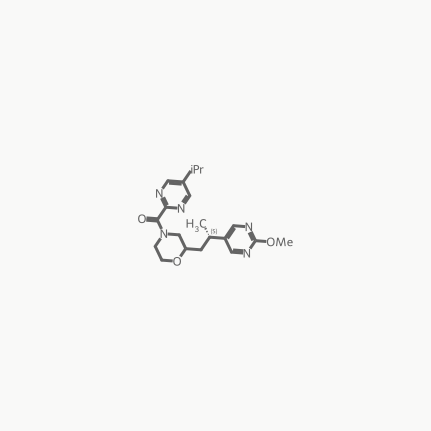 COc1ncc([C@@H](C)CC2CN(C(=O)c3ncc(C(C)C)cn3)CCO2)cn1